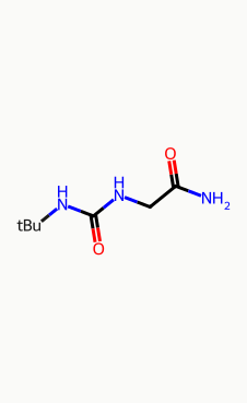 CC(C)(C)NC(=O)NCC(N)=O